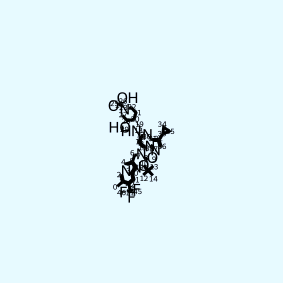 Cc1cn2cc(CN(C(=O)OC(C)(C)C)c3cc(NC[C@H]4CCN(C(=O)O)C[C@@H]4O)nc4c(C5CC5)cnn34)nc2cc1C(F)(F)F